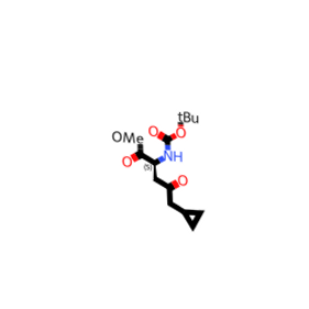 COC(=O)[C@H](CC(=O)CC1CC1)NC(=O)OC(C)(C)C